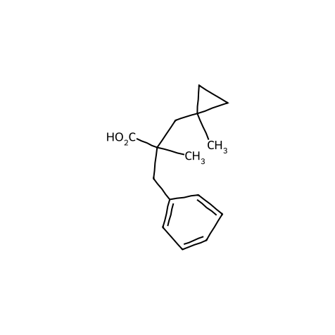 CC1(CC(C)(Cc2ccccc2)C(=O)O)CC1